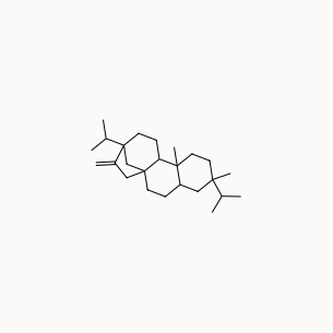 C=C1CC23CCC4CC(C)(C(C)C)CCC4(C)C2CCC1(C(C)C)C3